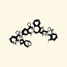 O=C(Nc1c(F)cccc1F)c1cc2c(s1)-c1ccccc1N(C(=O)c1ccc(NC(=O)c3cccnc3N3CC4(CCOCC4)C3)cc1F)CC2